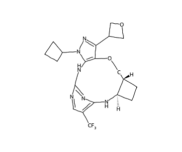 FC(F)(F)c1cnc2nc1N[C@@H]1CC[C@H]1COc1c(C3COC3)nn(C3CCC3)c1N2